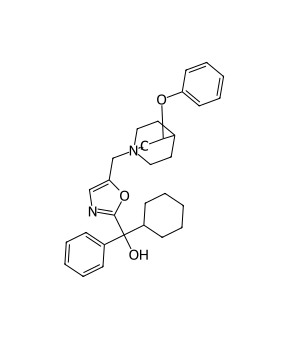 OC(c1ccccc1)(c1ncc(C[N+]23CCC(CC2)C(Oc2ccccc2)C3)o1)C1CCCCC1